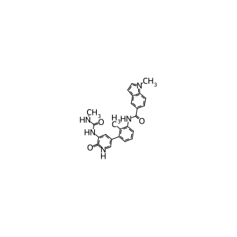 CNC(=O)Nc1cc(-c2cccc(NC(=O)c3ccc4c(ccn4C)c3)c2C)c[nH]c1=O